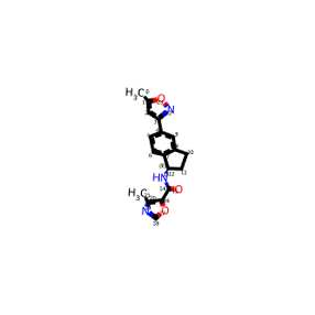 Cc1cc(-c2ccc3c(c2)CC[C@H]3NC(=O)c2ocnc2C)no1